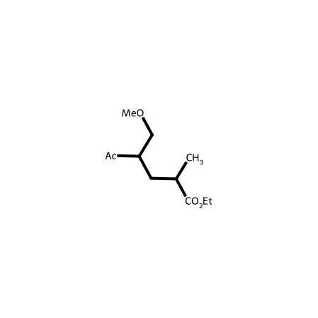 CCOC(=O)C(C)CC(COC)C(C)=O